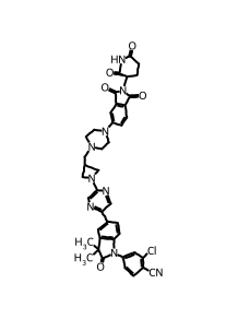 CC1(C)C(=O)N(c2ccc(C#N)c(Cl)c2)c2ccc(-c3cnc(N4CC(CN5CCN(c6ccc7c(c6)C(=O)N(C6CCC(=O)NC6=O)C7=O)CC5)C4)cn3)cc21